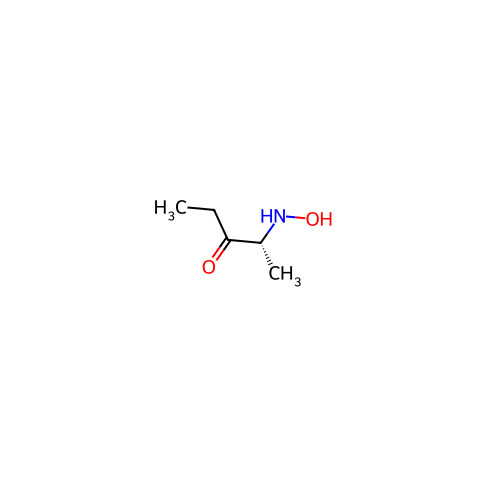 CCC(=O)[C@@H](C)NO